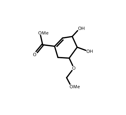 COCOC1CC(C(=O)OC)=CC(O)C1O